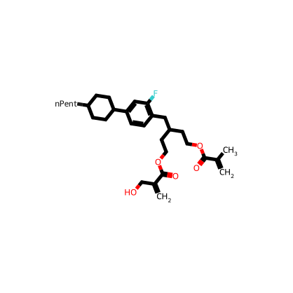 C=C(C)C(=O)OCCC(CCOC(=O)C(=C)CO)Cc1ccc(C2CCC(CCCCC)CC2)cc1F